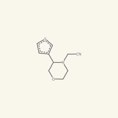 N#CCN1CCOCC1c1ccsc1